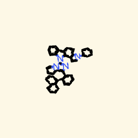 c1ccc(-n2ccc3c2ccc2c4ccccc4n(-c4nc(-c5ccccc5-c5cccc6ccccc56)c5ccccn45)c23)cc1